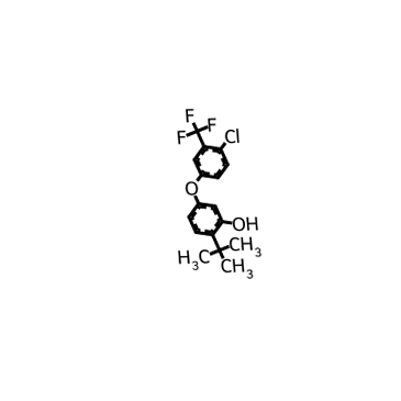 CC(C)(C)c1ccc(Oc2ccc(Cl)c(C(F)(F)F)c2)cc1O